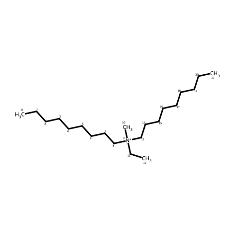 CCCCCCCCC[N+](C)(CC)CCCCCCCCC